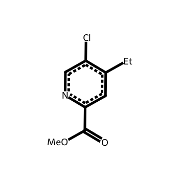 CCc1cc(C(=O)OC)ncc1Cl